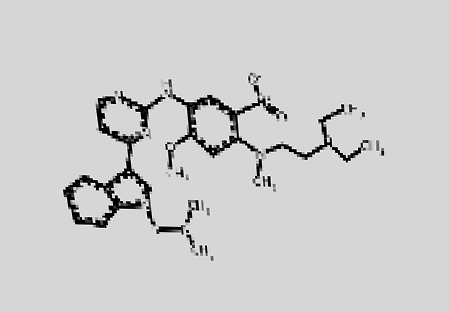 CCN(CC)CCN(C)c1cc(OC)c(Nc2nccc(-c3cn(SN(C)C)c4ccccc34)n2)cc1[N+](=O)[O-]